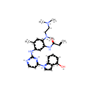 C=CC(=O)Nc1cc(Nc2nccc(-n3ccc4c(O)cccc43)n2)c(C)cc1N(C)CCN(C)C